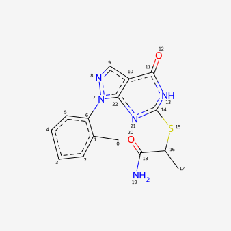 Cc1ccccc1-n1ncc2c(=O)[nH]c(SC(C)C(N)=O)nc21